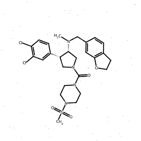 CN(Cc1ccc2c(c1)OCC2)[C@@H]1CN(C(=O)N2CCN(S(C)(=O)=O)CC2)C[C@@H]1c1ccc(Cl)c(Cl)c1